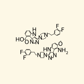 COc1ccc2[nH]c3c(N4CCN(CCc5ccc(F)c(F)c5)CC4)ncnc3c2c1N.O=C(O)c1cccc2[nH]c3c(N4CCN(CCc5ccc(F)c(F)c5)CC4)ncnc3c12